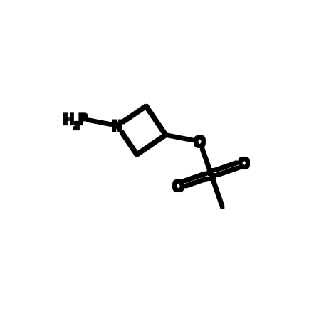 CS(=O)(=O)OC1CN(P)C1